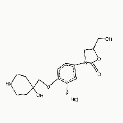 Cl.O=C1OC(CO)CN1c1ccc(OCC2(O)CCNCC2)c(F)c1